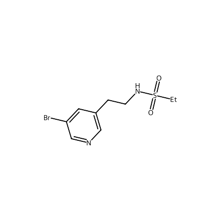 CCS(=O)(=O)NCCc1cncc(Br)c1